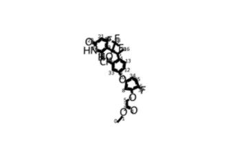 CCOC(=O)COc1cc(Oc2ccc(C(C)C(O)(c3ccc(=O)[nH]c3C)C(F)(F)F)c(Cl)c2)ccc1F